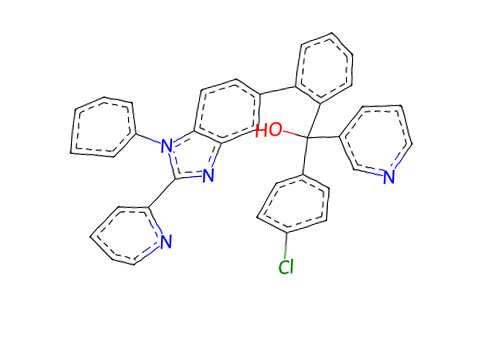 OC(c1ccc(Cl)cc1)(c1cccnc1)c1ccccc1-c1ccc2c(c1)nc(-c1ccccn1)n2-c1ccccc1